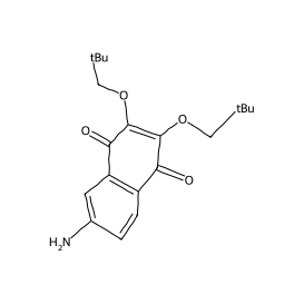 CC(C)(C)COC1=C(OCC(C)(C)C)C(=O)c2cc(N)ccc2C1=O